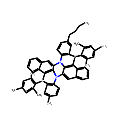 CCCCc1ccc2c(c1)B(c1c(C)cc(C)cc1C)c1c3c(cc4ccccc14)N1c4ccc(C)cc4B(c4c(C)cc(C)cc4C)c4c1c(cc1ccccc41)N23